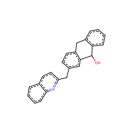 OC1c2ccccc2Cc2ccc(Cc3ccc4ccccc4n3)cc21